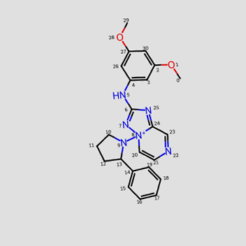 COc1cc(NC2=N[N+]3(N4CCCC4c4ccccc4)C=CN=CC3=N2)cc(OC)c1